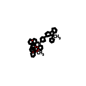 CC1(c2ccccc2)c2ccccc2-c2ccc(-c3ccc(N(c4ccccc4-c4cccc5cccc(-c6ccccc6)c45)c4cccc5c4-c4ccccc4C5(C)c4ccccc4)cc3)cc21